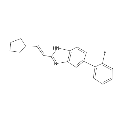 Fc1ccccc1-c1ccc2[nH]c(C=CC3CCCC3)nc2c1